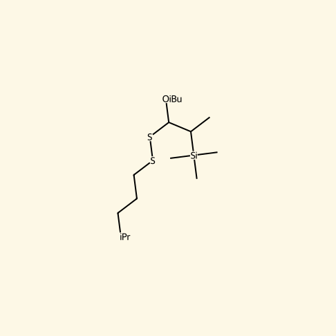 CC(C)CCCSSC(OCC(C)C)C(C)[Si](C)(C)C